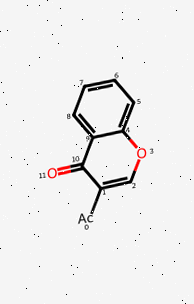 CC(=O)c1coc2ccccc2c1=O